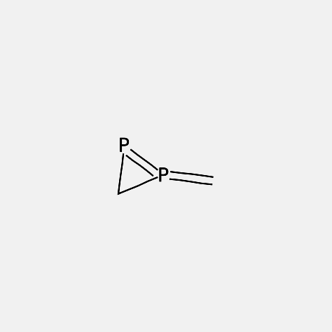 C=P1=PC1